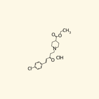 CCOC(=O)C1CCN(CCC(=O)C=Cc2ccc(Cl)cc2)CC1.Cl